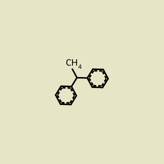 C.CC(c1ccccc1)c1ccccc1